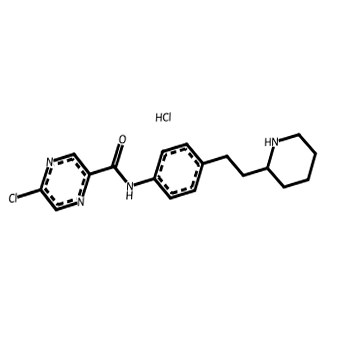 Cl.O=C(Nc1ccc(CCC2CCCCN2)cc1)c1cnc(Cl)cn1